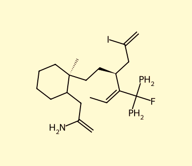 C=C(N)CC1CCCC[C@@]1(C)CC[C@@H](CC(=C)I)/C(=C\C)C(F)(P)P